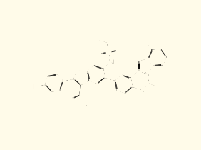 CCS(=O)(=O)Nc1cc2oc(-c3ccc(F)cc3)c(C(=O)NC)c2cc1-c1ccc2c(n1)-c1cc3c(F)cccc3n1C(C)N2